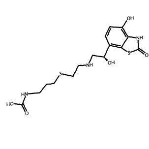 O=C(O)NCCCSCCNC[C@H](O)c1ccc(O)c2[nH]c(=O)sc12